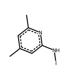 Cc1cc(C)nc(NI)c1